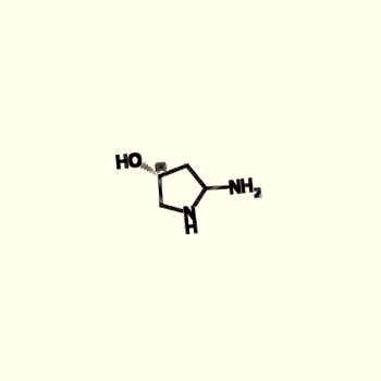 NC1C[C@@H](O)CN1